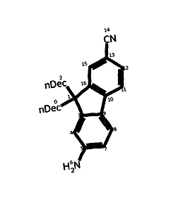 CCCCCCCCCCC1(CCCCCCCCCC)c2cc(N)ccc2-c2ccc(C#N)cc21